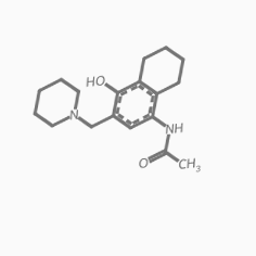 CC(=O)Nc1cc(CN2CCCCC2)c(O)c2c1CCCC2